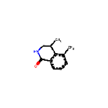 Cc1cccc2c1C(C)CNC2=O